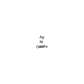 [Ag].[Ni].[O]=[Fe]